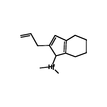 C=CCC1=CC2=C(CCCC2)[CH]1[Hf]([CH3])[CH3]